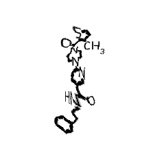 Cc1ccsc1C(=O)N1CCN(c2ccc(C(=O)NCCCc3ccccc3)cn2)CC1